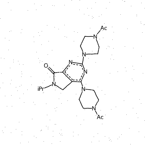 CC(=O)N1CCN(c2nc3c(c(N4CCN(C(C)=O)CC4)n2)CN(C(C)C)C3=O)CC1